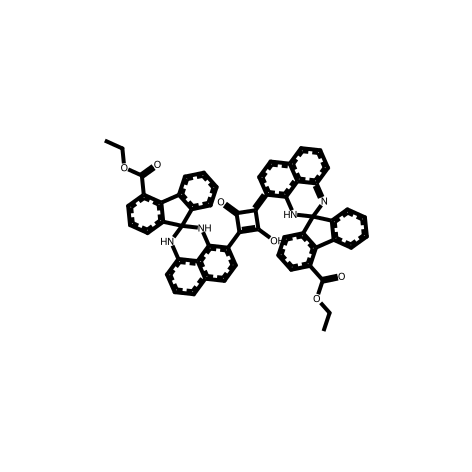 CCOC(=O)c1cccc2c1-c1ccccc1C21N=c2cccc3cc/c(=C4\C(=O)C(c5ccc6cccc7c6c5NC5(N7)c6ccccc6-c6c(C(=O)OCC)cccc65)=C4O)c(c23)N1